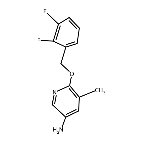 Cc1cc(N)cnc1OCc1cccc(F)c1F